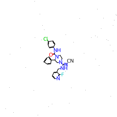 N#C/N=C(/NCc1cccnc1F)N1CCN(C(=O)Nc2ccc(Cl)cc2)C(c2ccccc2)C1